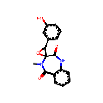 CN1C(=O)c2ccccc2NC(=O)C12OC2c1cccc(O)c1